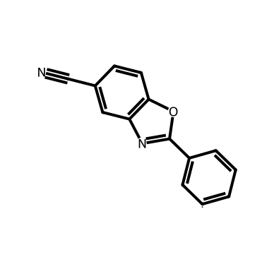 N#Cc1ccc2oc(-c3c[c]ccc3)nc2c1